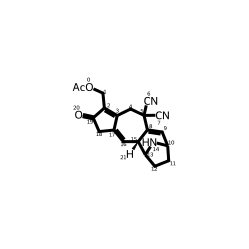 CC(=O)OCC1=C2CC(C#N)(C#N)C3=CC4CCC(N4)[C@@H]3C=C2CC1=O